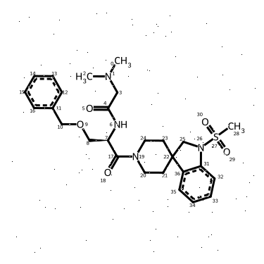 CN(C)CC(=O)N[C@H](COCc1ccccc1)C(=O)N1CCC2(CC1)CN(S(C)(=O)=O)c1ccccc12